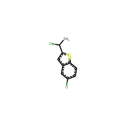 CC(Cl)c1cc2cc(Cl)ccc2s1